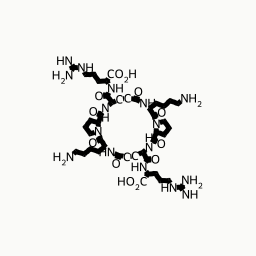 N=C(N)NCCCC(NC(=O)C1CCC(=O)NC(CCCCN)C(=O)N2CCCC2C(=O)NC(C(=O)NC(CCCNC(=N)N)C(=O)O)CCC(=O)NC(CCCCN)C(=O)N2CCCC2C(=O)N1)C(=O)O